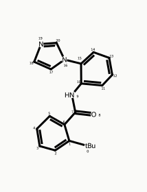 CC(C)(C)c1ccccc1C(=O)Nc1ccccc1-n1ccnc1